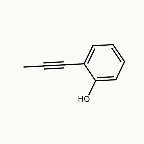 [CH2]C#Cc1ccccc1O